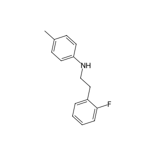 Cc1ccc(NCCc2ccccc2F)cc1